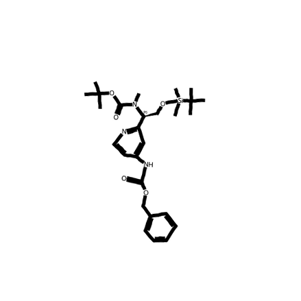 CN(C(=O)OC(C)(C)C)[C@@H](CO[Si](C)(C)C(C)(C)C)c1cc(NC(=O)OCc2ccccc2)ccn1